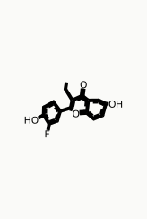 CCc1c(-c2ccc(O)c(F)c2)oc2ccc(O)cc2c1=O